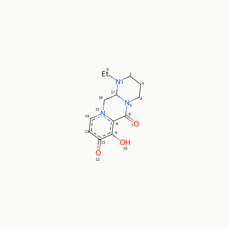 CCN1CCCN2C(=O)c3c(O)c(=O)ccn3CC12